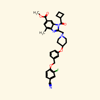 COC(=O)c1cc(C)c2nc(CN3CCC(Oc4cccc(COc5ccc(C#N)cc5F)c4)CC3)n(C(=O)C3CCC3)c2c1